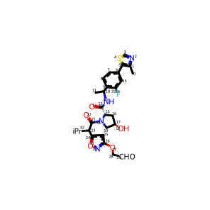 Cc1ncsc1-c1ccc(C(C)NC(=O)[C@@H]2C[C@@H](O)CN2C(=O)C(c2cc(OCC=O)no2)C(C)C)c(F)c1